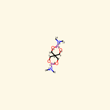 CN(C)P1OCC2(CO1)COP(N(C)C)OC2